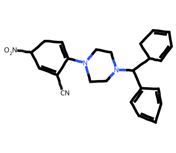 N#CC1=CC([N+](=O)[O-])CC=C1N1CCN(C(c2ccccc2)C2C=CC=CC2)CC1